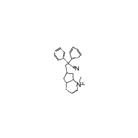 C[N+]1(C)CCCC2CC(CC(C#N)(c3ccccc3)c3ccccc3)CC21